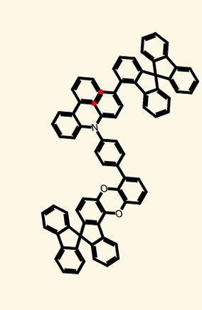 c1ccc(-c2ccccc2N(c2ccc(-c3cccc4c3Oc3ccc5c(c3O4)-c3ccccc3C53c4ccccc4-c4ccccc43)cc2)c2ccc(-c3cccc4c3-c3ccccc3C43c4ccccc4-c4ccccc43)cc2)cc1